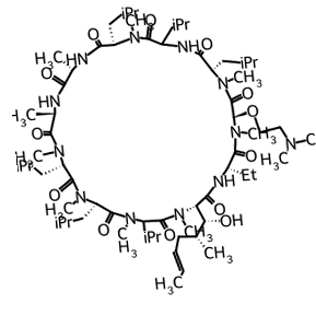 C/C=C/C[C@@H](C)[C@@H](O)[C@H]1C(=O)N[C@@H](CC)C(=O)N(C)[C@H](OCCN(C)C)C(=O)N(C)[C@@H](CC(C)C)C(=O)NC(C(C)C)C(=O)N(C)[C@@H](CC(C)C)C(=O)N[C@@H](C)C(=O)N[C@H](C)C(=O)N(C)[C@@H](CC(C)C)C(=O)N(C)[C@@H](CC(C)C)C(=O)N(C)C(C(C)C)C(=O)N1C